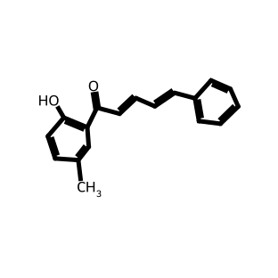 Cc1ccc(O)c(C(=O)C=CC=Cc2ccccc2)c1